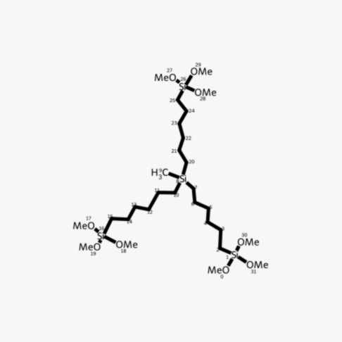 CO[Si](CCCCCC[Si](C)(CCCCCC[Si](OC)(OC)OC)CCCCCC[Si](OC)(OC)OC)(OC)OC